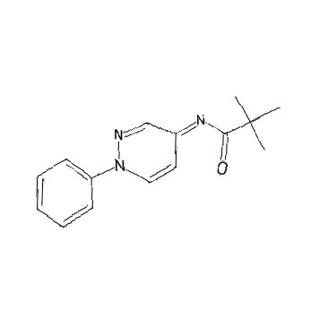 CC(C)(C)C(=O)N=c1ccn(-c2ccccc2)nc1